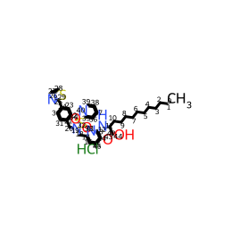 CCCCCCCCCCCC(Nc1cccc(CN(Cc2ccc(-c3nccs3)cc2)S(=O)(=O)c2ccccn2)n1)C(=O)O.Cl